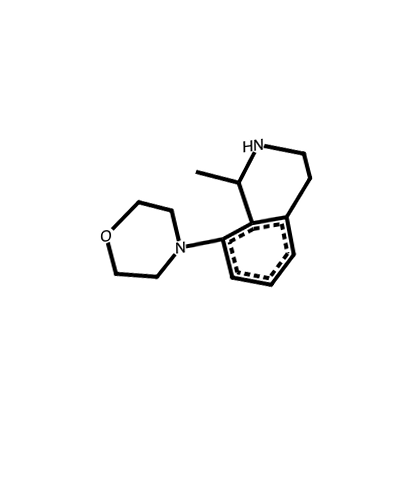 CC1NCCc2cccc(N3CCOCC3)c21